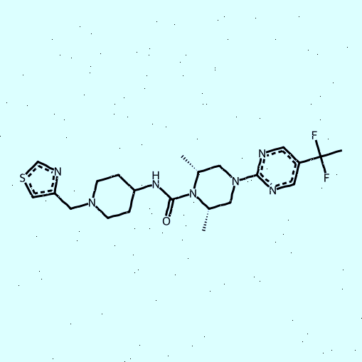 C[C@@H]1CN(c2ncc(C(C)(F)F)cn2)C[C@H](C)N1C(=O)NC1CCN(Cc2cscn2)CC1